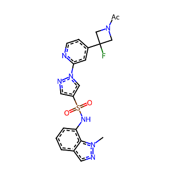 CC(=O)N1CC(F)(c2ccnc(-n3cc(S(=O)(=O)Nc4cccc5cnn(C)c45)cn3)c2)C1